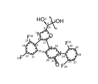 CC(C)(O)[C@H](O)c1nc(-c2ccc(F)cc2F)c(-c2ccc(=O)n(-c3c(F)cccc3F)c2)o1